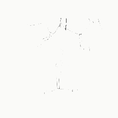 CC(=O)O.CCP(=O)(CC)NC(=N)N